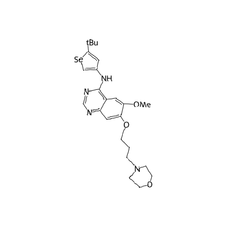 COc1cc2c(Nc3c[se]c(C(C)(C)C)c3)ncnc2cc1OCCCN1CCOCC1